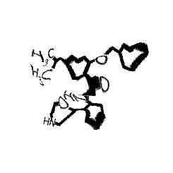 CC(C)c1ccc(OCc2ccccc2)c(C(=O)Nc2ccccc2C2CNCCO2)c1